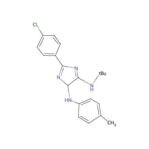 Cc1ccc(NC2N=C(c3ccc(Cl)cc3)N=C2NC(C)(C)C)cc1